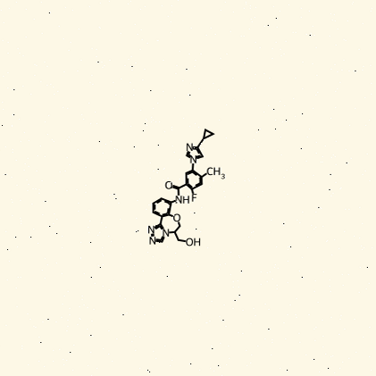 Cc1cc(F)c(C(=O)Nc2cccc3c2OCC(CO)n2cnnc2-3)cc1-n1cnc(C2CC2)c1